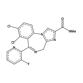 CNC(=O)c1cn2c(n1)CN=C(c1ncccc1F)c1c-2ccc(Cl)c1Cl